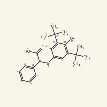 CC(C)(C)c1cc(SC(C(=O)O)c2ccccc2)cc(C(C)(C)C)c1O